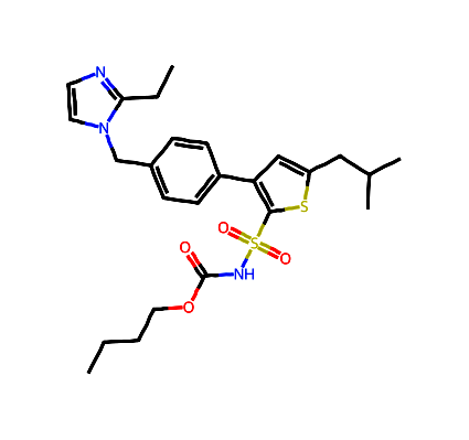 CCCCOC(=O)NS(=O)(=O)c1sc(CC(C)C)cc1-c1ccc(Cn2ccnc2CC)cc1